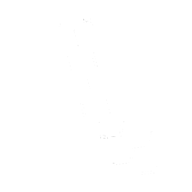 Cc1cc(C(N)=O)ccc1-c1ccc2[nH]c(-c3c(F)cccc3F)cc2c1